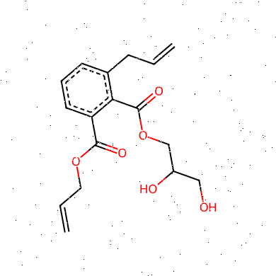 C=CCOC(=O)c1cccc(CC=C)c1C(=O)OCC(O)CO